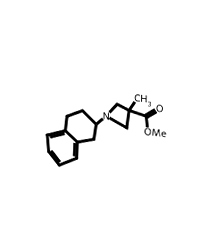 COC(=O)C1(C)CN(C2CCc3ccccc3C2)C1